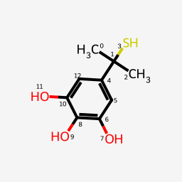 CC(C)(S)c1cc(O)c(O)c(O)c1